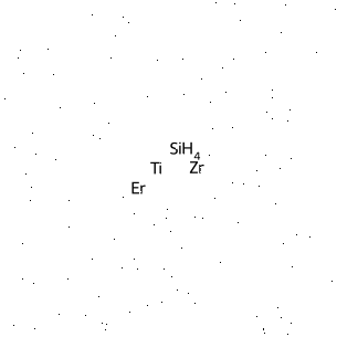 [Er].[SiH4].[Ti].[Zr]